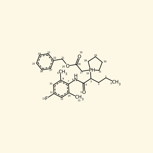 CCCC(C(=O)Nc1c(C)cc(F)cc1C)[PH]1(CC(=O)OCc2ccccc2)CCCC1